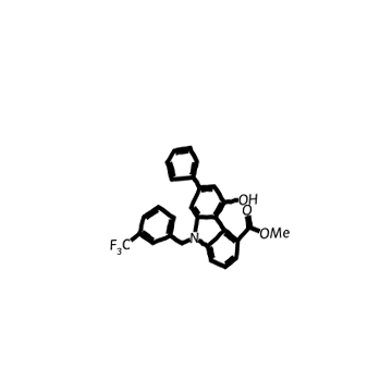 COC(=O)c1cccc2c1c1c(O)cc(-c3ccccc3)cc1n2Cc1cccc(C(F)(F)F)c1